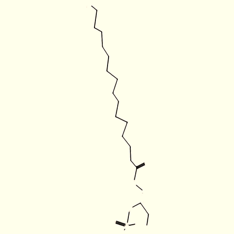 CCCCCCCCCCCCCCCC(=O)OC[C@H](CO)OP(=O)(O)O